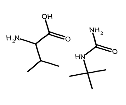 CC(C)(C)NC(N)=O.CC(C)C(N)C(=O)O